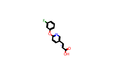 O=C(O)/C=C/c1ccc(Oc2cccc(F)c2)nc1